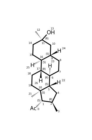 CC(=O)[C@H]1[C@H](C)C[C@H]2[C@@H]3CC[C@H]4C[C@](C)(O)CC[C@@H]4[C@H]3CC[C@@]21C